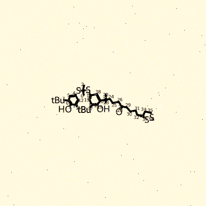 CC(C)(Sc1cc(C(C)(C)C)c(O)c(C(C)(C)C)c1)Sc1cc(C(C)(C)C)c(O)c(C(C)(C)CCCC(=O)CCCCC2CCSS2)c1